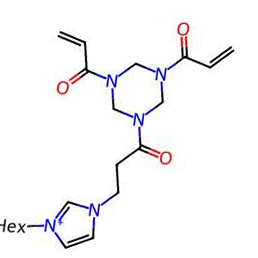 C=CC(=O)N1CN(C(=O)C=C)CN(C(=O)CCn2cc[n+](CCCCCC)c2)C1